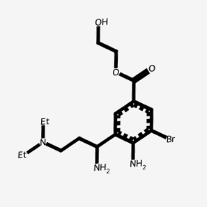 CCN(CC)CCC(N)c1cc(C(=O)OCCO)cc(Br)c1N